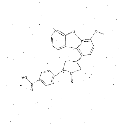 COc1ccc(C2CC(=O)N(c3ccc(C(=O)O)cc3)C2)c2c1oc1ccccc12